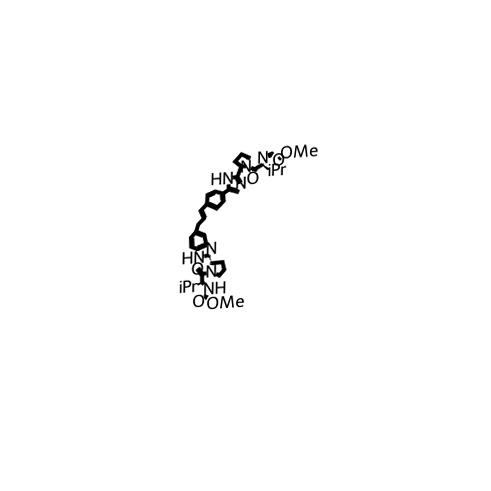 COO/C=N\[C@H](C(=O)N1CCCC1c1ncc(-c2ccc(C=CCc3ccc4[nH]c([C@@H]5CCCN5C(=O)[C@@H](NC(=O)OC)C(C)C)nc4c3)cc2)[nH]1)C(C)C